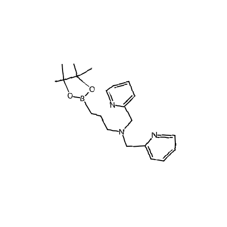 CC1(C)OB(CCCN(Cc2ccccn2)Cc2ccccn2)OC1(C)C